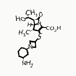 C[C@@H](O)[C@H]1C(=O)N2C(C(=O)O)=C(SC3CN([C@@H]4CCC[C@@H](N)C4)C3)[C@H](C)[C@H]12